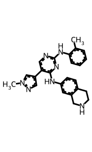 Cc1ccccc1Nc1ncc(-c2cnn(C)c2)c(Nc2ccc3c(c2)CNCC3)n1